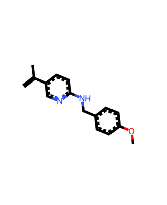 C=C(C)c1ccc(NCc2ccc(OC)cc2)nc1